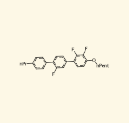 CCCCCOc1ccc(-c2ccc(-c3ccc(CCC)cc3)c(F)c2)c(F)c1F